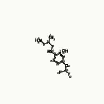 CC(CN)CNc1ncc(OC(F)F)cn1.Cl